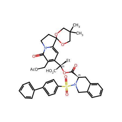 CC[C@@](OC(=O)[C@H]1Cc2ccccc2CN1S(=O)(=O)c1ccc(-c2ccccc2)cc1)(C(=O)O)c1cc2n(c(=O)c1COC(C)=O)CCC21OCC(C)(C)CO1